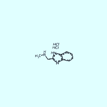 CNCc1nc2ccccc2[nH]1.Cl.Cl